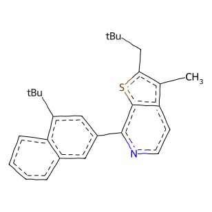 Cc1c(CC(C)(C)C)sc2c(-c3cc(C(C)(C)C)c4ccccc4c3)nccc12